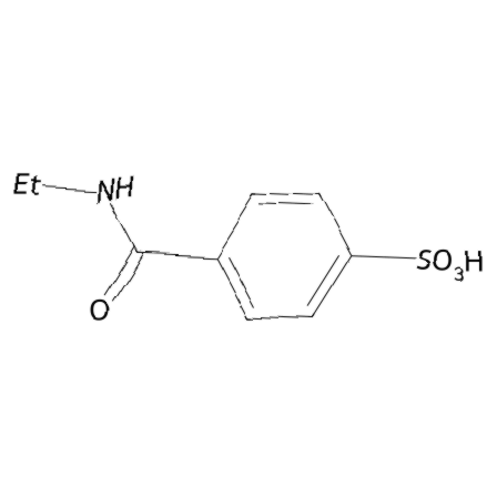 CCNC(=O)c1ccc(S(=O)(=O)O)cc1